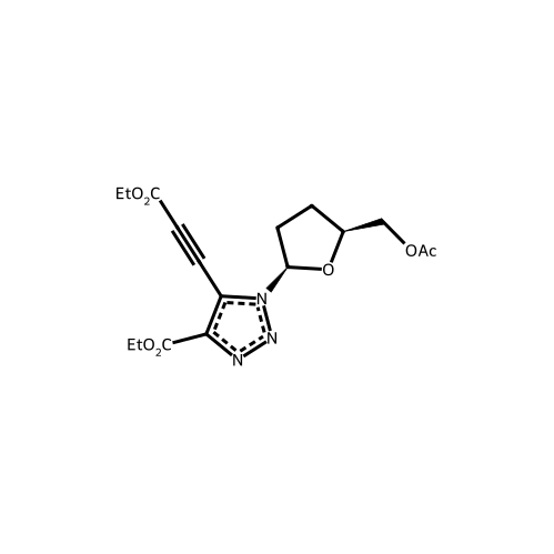 CCOC(=O)C#Cc1c(C(=O)OCC)nnn1[C@H]1CC[C@@H](COC(C)=O)O1